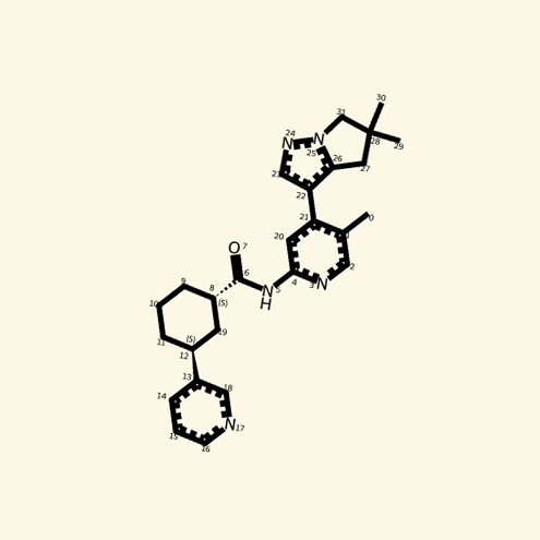 Cc1cnc(NC(=O)[C@H]2CCC[C@H](c3cccnc3)C2)cc1-c1cnn2c1CC(C)(C)C2